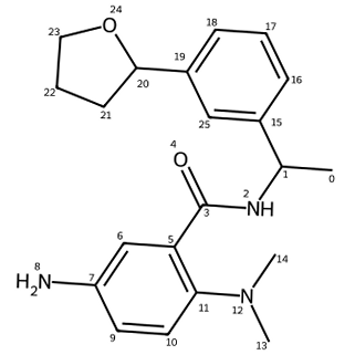 CC(NC(=O)c1cc(N)ccc1N(C)C)c1cccc(C2CCCO2)c1